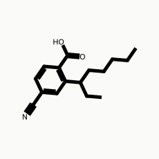 CCCCCC(CC)c1cc(C#N)ccc1C(=O)O